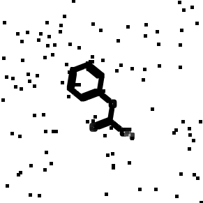 O=C(Oc1ccccc1)C(F)(F)F